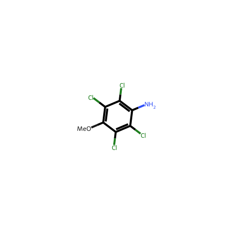 COc1c(Cl)c(Cl)c(N)c(Cl)c1Cl